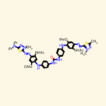 COc1cc(N=Nc2sc(C)n[n+]2C)c(NC(C)=O)cc1Nc1ccc(NC(=O)Nc2ccc(Nc3cc(NC(C)=O)c(N=Nc4sc(N(C(C)C)C(C)C)n[n+]4C)cc3OC)cc2)cc1